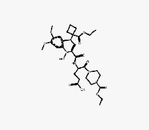 CCOC(=O)N1CCN(C(=O)C(CCC(=O)O)NC(=O)C2=CC(C3(C(=O)OCC)CCC3)c3cc(OC)c(OC)cc3N2O)CC1